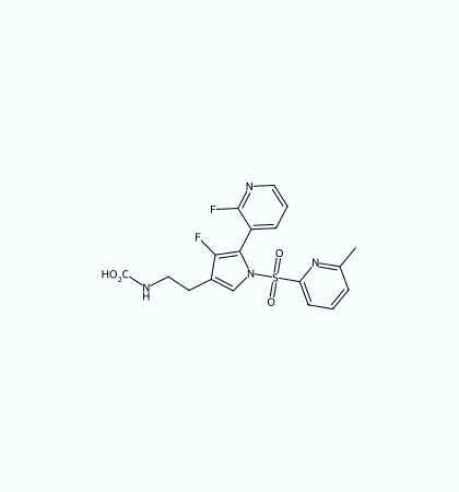 Cc1cccc(S(=O)(=O)n2cc(CCNC(=O)O)c(F)c2-c2cccnc2F)n1